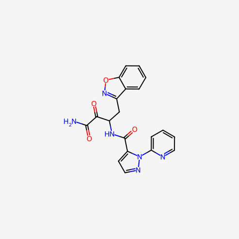 NC(=O)C(=O)C(Cc1noc2ccccc12)NC(=O)c1ccnn1-c1ccccn1